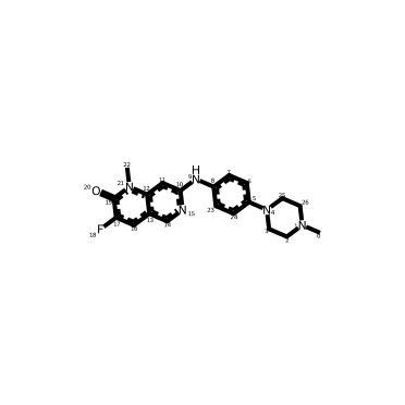 CN1CCN(c2ccc(Nc3cc4c(cn3)cc(F)c(=O)n4C)cc2)CC1